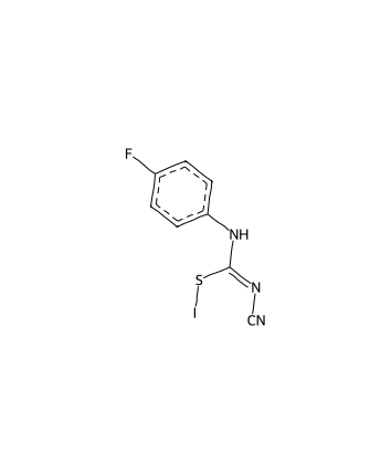 N#C/N=C(/Nc1ccc(F)cc1)SI